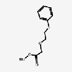 CC(C)(C)OC(=O)COCCSc1ccccc1